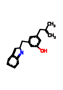 C=C(C)Cc1cc(O)cc(CC2C=c3ccccc3=N2)c1